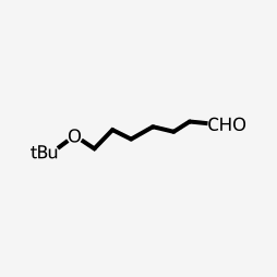 CC(C)(C)OCCCCCCC=O